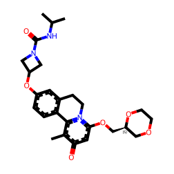 Cc1c2n(c(OC[C@@H]3COCCO3)cc1=O)CCc1cc(OC3CN(C(=O)NC(C)C)C3)ccc1-2